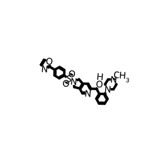 CN1CCN(c2ccccc2C(O)c2cc3c(cn2)CN(S(=O)(=O)c2ccc(-c4ncco4)cc2)C3)CC1